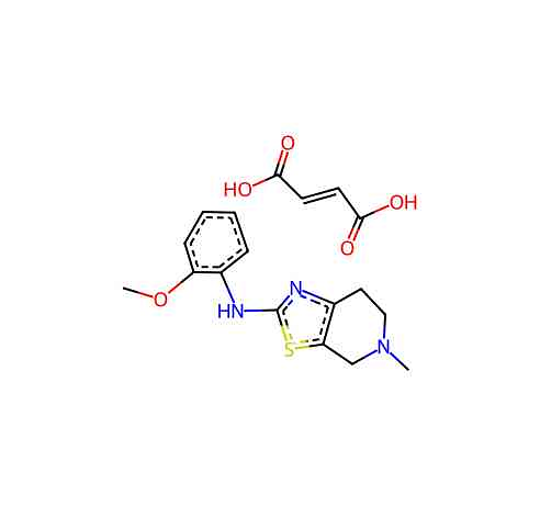 COc1ccccc1Nc1nc2c(s1)CN(C)CC2.O=C(O)C=CC(=O)O